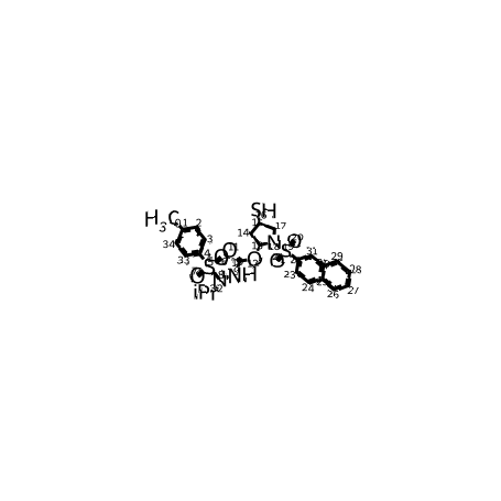 Cc1ccc(S(=O)(=O)N(NC(=O)O[C@H]2C[C@@H](S)CN2S(=O)(=O)c2ccc3ccccc3c2)C(C)C)cc1